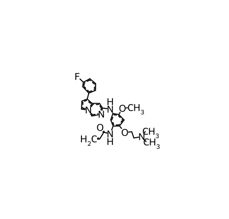 C=CC(=O)Nc1cc(Nc2cc3c(-c4cccc(F)c4)ccn3cn2)c(OC)cc1OCCN(C)C